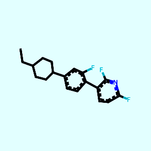 CCC1CCC(c2ccc(-c3ccc(F)nc3F)c(F)c2)CC1